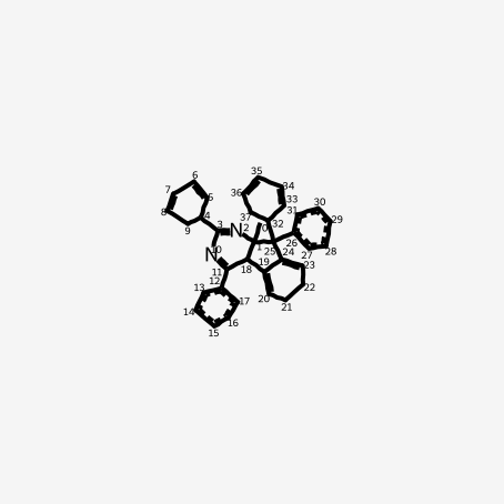 CC12N=C(C3C=CC=CC3)N=C(c3ccccc3)C1C1=CCCC=C1C2(c1ccccc1)C1C=CC=CC1